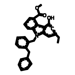 CCc1cc(O)c2c3c(C(=O)OC)cccc3n(Cc3ccccc3Cc3ccccc3)c2c1